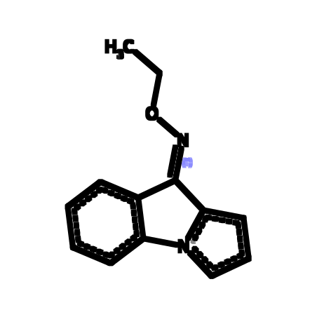 CCO/N=C1\c2ccccc2-n2cccc21